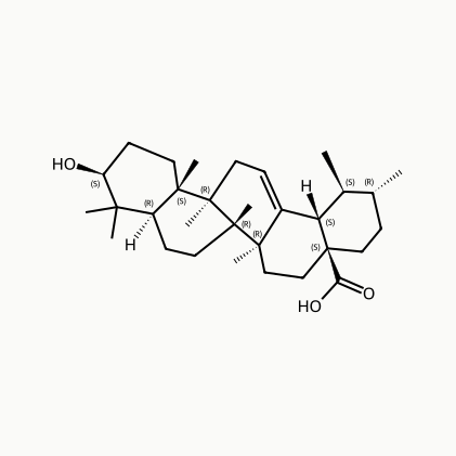 C[C@H]1[C@H](C)CC[C@]2(C(=O)O)CC[C@]3(C)C(=CC[C@@]4(C)[C@@]3(C)CC[C@H]3C(C)(C)[C@@H](O)CC[C@@]34C)[C@H]12